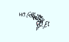 CCOC(=O)C1=C(CN2CC(OCC(=O)O)C(F)(F)C2)NC(c2nccs2)=N[C@@]1(C)c1ccc(F)cc1